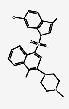 Cc1c(N2CCN(C)CC2)cc(S(=O)(=O)n2cc(C)c3ccc(Cl)cc32)c2ccccc12